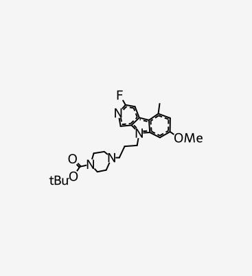 COc1cc(C)c2c3cc(F)ncc3n(CCCN3CCN(C(=O)OC(C)(C)C)CC3)c2c1